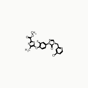 COC(=O)c1nc(C)c(Oc2ccc(-n3ncn(Cc4cc(Cl)ccn4)c3=O)cc2F)s1